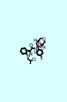 CC(Cl)Cn1nc(C(=O)N[C@H]2C[C@H]3COC[C@@H](C2)N3Cc2ccc(F)cc2)c2ccccc21